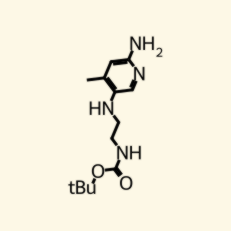 Cc1cc(N)ncc1NCCNC(=O)OC(C)(C)C